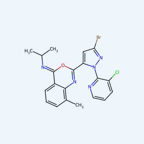 Cc1cccc2c(=NC(C)C)oc(-c3cc(Br)nn3-c3ncccc3Cl)nc12